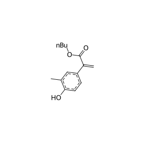 C=C(C(=O)OCCCC)c1ccc(O)c(C)c1